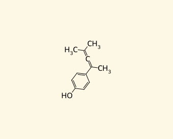 CC(C)=C=C(C)c1ccc(O)cc1